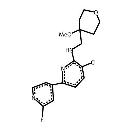 COC1(CNc2nc(-c3ccnc(F)c3)ccc2Cl)CCOCC1